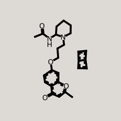 CC(=O)NC1CCCCN1CCCOc1ccc2c(=O)cc(C)oc2c1.c1cc2ccc1-2